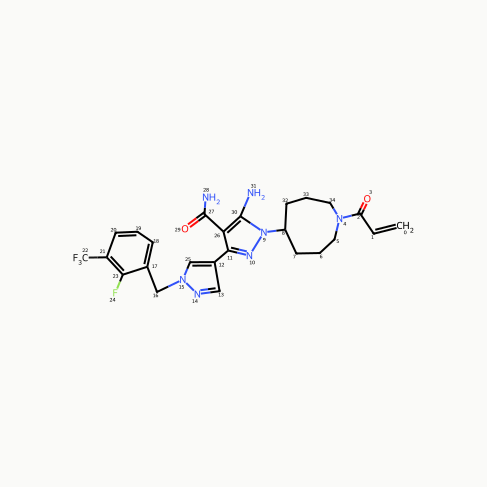 C=CC(=O)N1CCCC(n2nc(-c3cnn(Cc4cccc(C(F)(F)F)c4F)c3)c(C(N)=O)c2N)CCC1